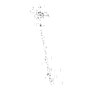 Cc1cc(F)cc(-c2cnc(NCCNC(=O)CCOCCOCCOCCOCCOCCNC(=O)CNCCN(CCN(CCNCC(=O)O)CC(=O)O)CC(=O)O)c(-c3nc4cc(Cl)ccc4[nH]3)c2N2CCC(N)CC2)c1